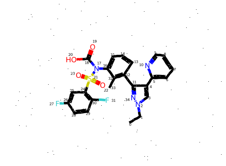 CCn1cc(-c2ccccn2)c(-c2cccc(N(C(=O)O)S(=O)(=O)c3cc(F)ccc3F)c2C)n1